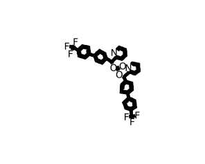 O=C(OC(c1ccc(-c2ccc(C(F)(F)F)cc2)cc1)c1ccccn1)OC(c1ccc(-c2ccc(C(F)(F)F)cc2)cc1)c1ccccn1